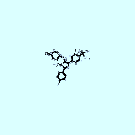 Cn1c(-c2ccc(F)cc2)nc(-c2ccc(C(C)(C)O)nc2)c1Sc1ncc(Cl)cn1